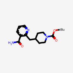 CC(C)(C)OC(=O)N1CCC(Cc2ncccc2C(N)=O)CC1